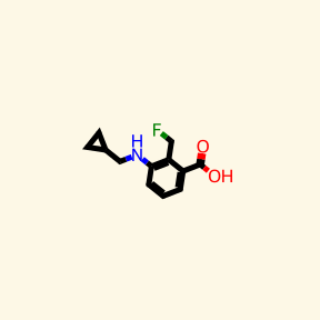 O=C(O)c1cccc(NCC2CC2)c1CF